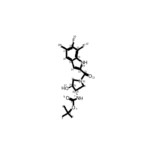 CC(C)(C)OC(=O)N[C@H]1CN(C(=O)c2cc3cc(I)c(F)c(F)c3[nH]2)C[C@@H]1O